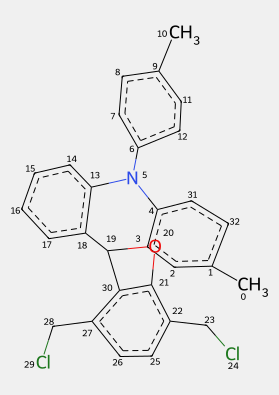 Cc1ccc(N(c2ccc(C)cc2)c2ccccc2C2Oc3c(CCl)ccc(CCl)c32)cc1